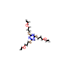 C=COCCCSc1nc(SCCCOC=C)nc(SCCCOC=C)n1